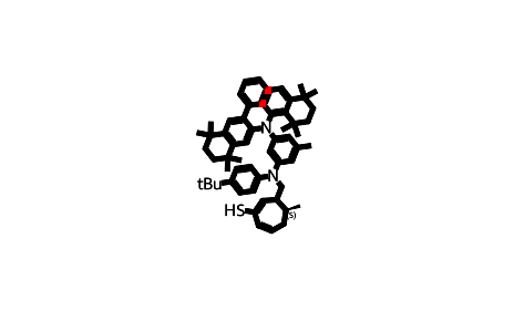 Cc1cc(N(CC2C=C(S)C=CC[C@@H]2C)c2ccc(C(C)(C)C)cc2)cc(N(c2cc3c(cc2-c2ccccc2)C(C)(C)CCC3(C)C)c2cccc3c2C(C)(C)CCC3(C)C)c1